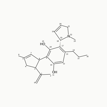 C=C(C)C1CC(C)=CC1c1c(O)cc(CCC)c([C@@H]2C=CCN2C)c1O